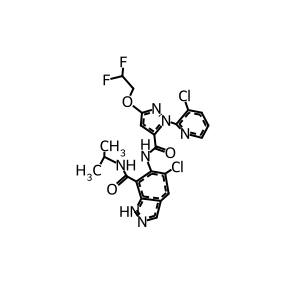 CC(C)NC(=O)c1c(NC(=O)c2cc(OCC(F)F)nn2-c2ncccc2Cl)c(Cl)cc2cn[nH]c12